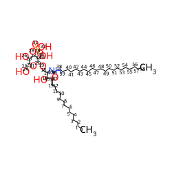 CCCCCCCCCCCCC/C=C/C(O)C(CO[C@@H]1O[C@H](CO)[C@H](O)C(OS(=O)(=O)O)C1O)NC(=O)CCCCCCCCCCCCCCCCCCCCC